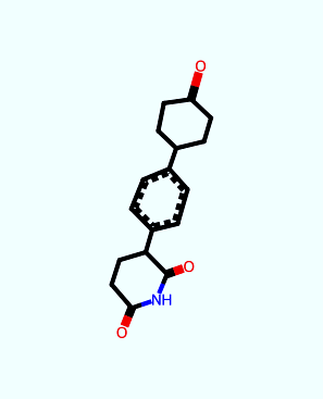 O=C1CCC(c2ccc(C3CCC(=O)NC3=O)cc2)CC1